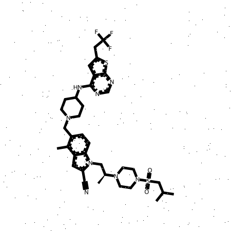 Cc1c(CN2CCC(Nc3ncnc4sc(CC(F)(F)F)cc34)CC2)ccc2c1cc(C#N)n2C[C@H](C)N1CCN(S(=O)(=O)CC(C)C)CC1